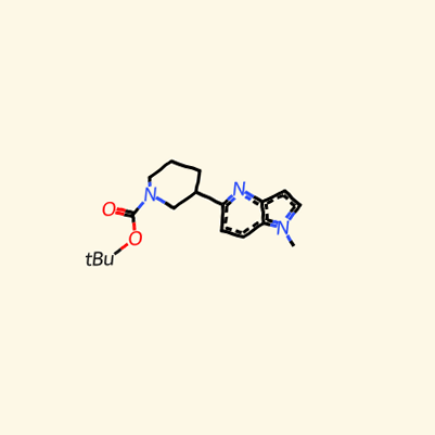 Cn1ccc2nc(C3CCCN(C(=O)OC(C)(C)C)C3)ccc21